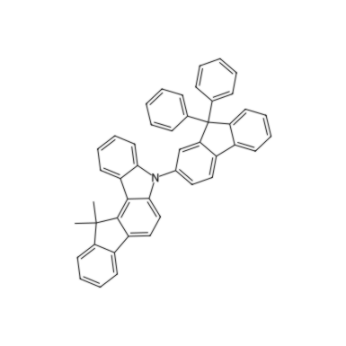 CC1(C)c2ccccc2-c2ccc3c(c21)c1ccccc1n3-c1ccc2c(c1)C(c1ccccc1)(c1ccccc1)c1ccccc1-2